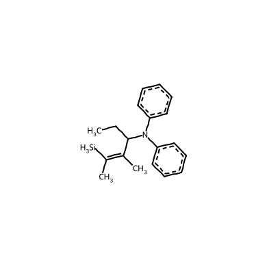 CCC(C(C)=C(C)[SiH3])N(c1ccccc1)c1ccccc1